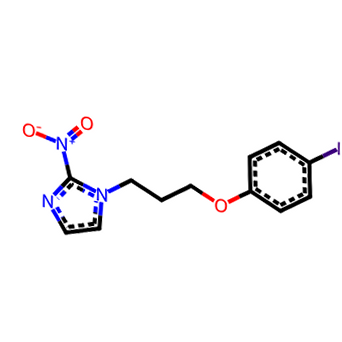 O=[N+]([O-])c1nccn1CCCOc1ccc(I)cc1